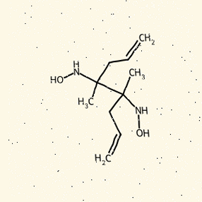 C=CCC(C)(NO)C(C)(CC=C)NO